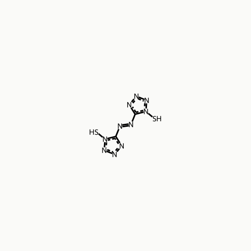 Sn1nnnc1N=Nc1nnnn1S